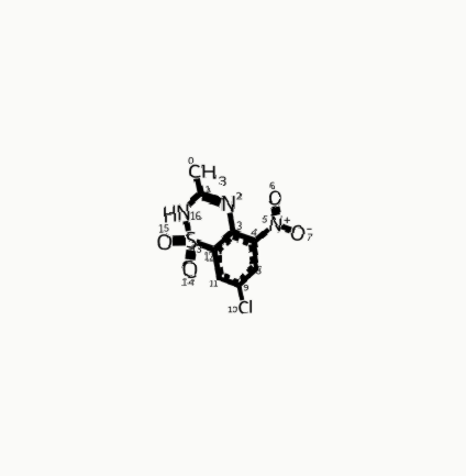 CC1=Nc2c([N+](=O)[O-])cc(Cl)cc2S(=O)(=O)N1